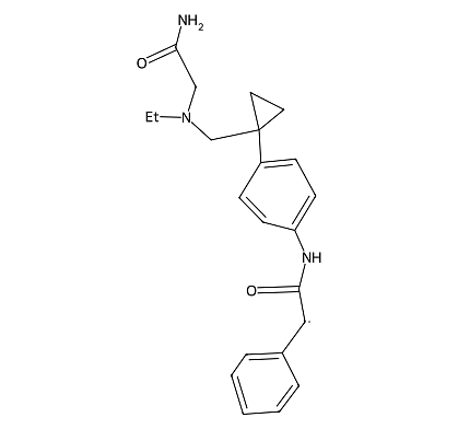 CCN(CC(N)=O)CC1(c2ccc(NC(=O)[CH]c3ccccc3)cc2)CC1